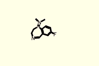 CN(C)N1CCN=Cc2cc(F)ccc21